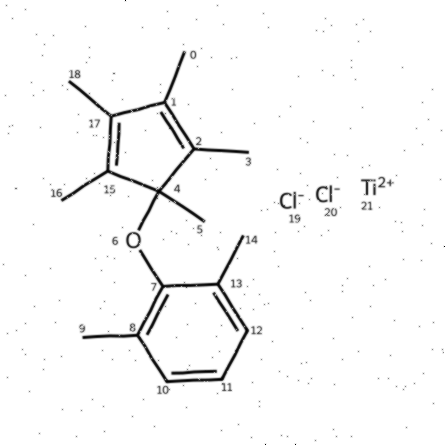 CC1=C(C)C(C)(Oc2c(C)cccc2C)C(C)=C1C.[Cl-].[Cl-].[Ti+2]